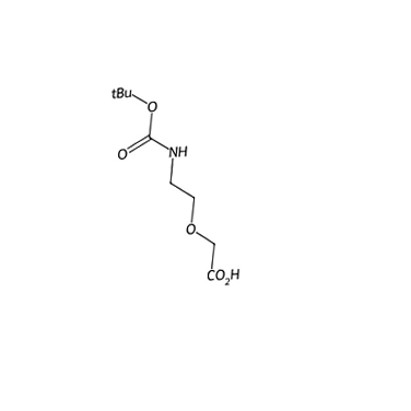 CC(C)(C)OC(=O)NCCOCC(=O)O